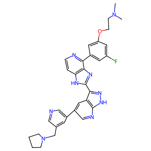 CN(C)CCOc1cc(F)cc(-c2nccc3[nH]c(-c4n[nH]c5ncc(-c6cncc(CN7CCCC7)c6)cc45)nc23)c1